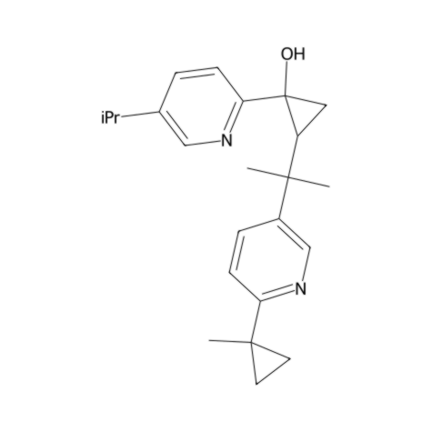 CC(C)c1ccc(C2(O)CC2C(C)(C)c2ccc(C3(C)CC3)nc2)nc1